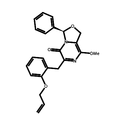 C=CCOc1ccccc1Cc1nc(OC)c2n(c1=O)[C@@H](c1ccccc1)OC2